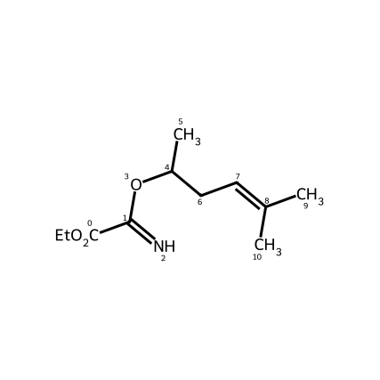 CCOC(=O)C(=N)OC(C)CC=C(C)C